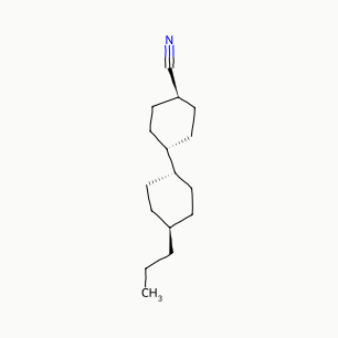 CCC[C@H]1CC[C@H]([C@H]2CC[C@H](C#N)CC2)CC1